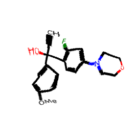 C#CC(O)(c1ccc(OC)cc1)c1ccc(N2CCOCC2)cc1F